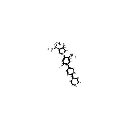 CN(C)C1CN(c2cc(F)c(-c3cnc(N4CCOCC4)nc3)cc2N)CC1F